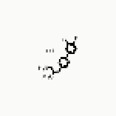 COC(CN)Cc1ccc(-c2ccc(F)c(Cl)c2)cc1.Cl